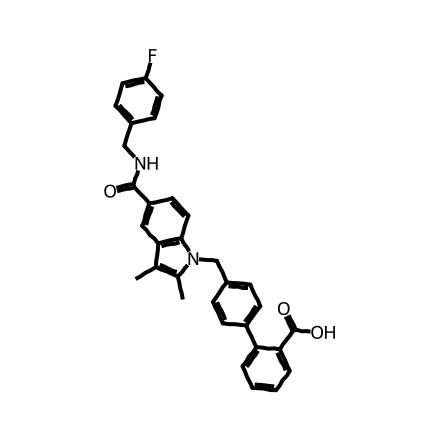 Cc1c(C)n(Cc2ccc(-c3ccccc3C(=O)O)cc2)c2ccc(C(=O)NCc3ccc(F)cc3)cc12